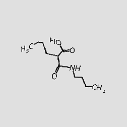 CCCCNC(=O)C(CCC)C(=O)O